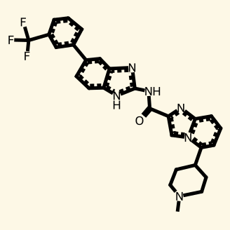 CN1CCC(c2cccc3nc(C(=O)Nc4nc5cc(-c6cccc(C(F)(F)F)c6)ccc5[nH]4)cn23)CC1